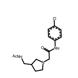 CC(=O)NCC1CCN(CC(=O)Nc2ccc(Cl)cc2)C1